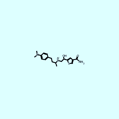 CC(CCc1ccc(N(C)C)cc1)NCC(O)c1cc(C(N)=O)cs1